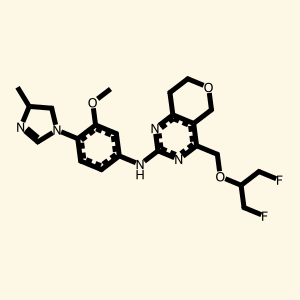 COc1cc(Nc2nc3c(c(COC(CF)CF)n2)COCC3)ccc1N1C=NC(C)C1